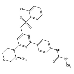 CNC(=O)Nc1ccc(-c2nc(CS(=O)(=O)c3ccccc3Cl)cc(N3CCOC[C@@H]3C)n2)cc1